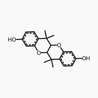 CC1(C)c2ccc(O)cc2OC2C1Oc1cc(O)ccc1C2(C)C